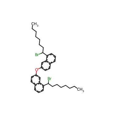 CCCCCCCC(Br)c1cccc2ccc(Oc3ccc4cccc(C(Br)CCCCCCC)c4c3)cc12